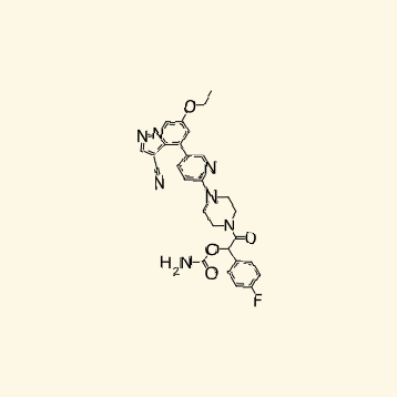 CCOc1cc(-c2ccc(N3CCN(C(=O)C(OC(N)=O)c4ccc(F)cc4)CC3)nc2)c2c(C#N)cnn2c1